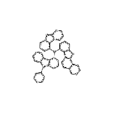 c1ccc(-n2c3ccccc3c3c(N(c4cccc5oc6ccccc6c45)c4cccc5oc6c7ccccc7ccc6c45)cccc32)cc1